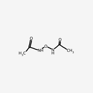 CC(=O)NONC(C)=O